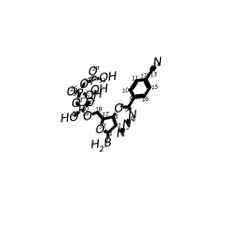 BC1CC(OC(N=[N+]=[N-])c2ccc(C#N)cc2)C(COP(=O)(O)OP(=O)(O)OP(=O)(O)O)O1